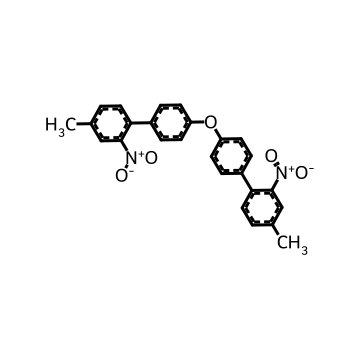 Cc1ccc(-c2ccc(Oc3ccc(-c4ccc(C)cc4[N+](=O)[O-])cc3)cc2)c([N+](=O)[O-])c1